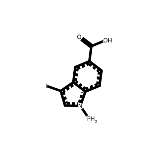 O=C(O)c1ccc2c(c1)c(I)cn2P